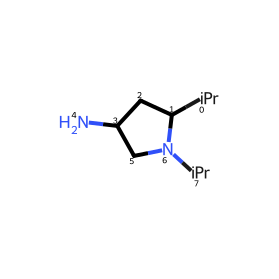 CC(C)C1CC(N)CN1C(C)C